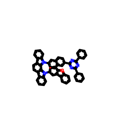 c1ccc(-c2nc(-c3ccccc3)nc(-c3ccc4cc(-n5c6ccccc6c6ccc7c8ccccc8n(-c8ccc9oc%10ccccc%10c9c8)c7c65)ccc4c3)n2)cc1